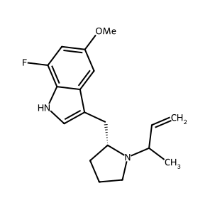 C=CC(C)N1CCC[C@@H]1Cc1c[nH]c2c(F)cc(OC)cc12